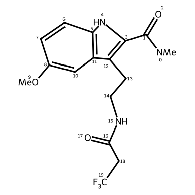 CNC(=O)c1[nH]c2ccc(OC)cc2c1CCNC(=O)CC(F)(F)F